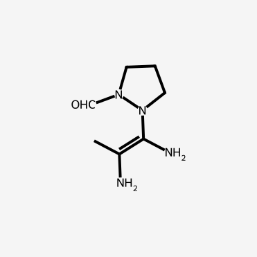 C/C(N)=C(/N)N1CCCN1C=O